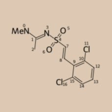 CN/C(C)=N/S(=O)(=O)/C=C/c1c(Cl)cccc1Cl